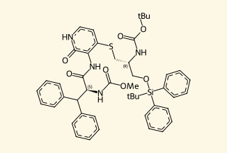 COC(=O)N[C@H](C(=O)Nc1c(SC[C@@H](CO[Si](c2ccccc2)(c2ccccc2)C(C)(C)C)NC(=O)OC(C)(C)C)cc[nH]c1=O)C(c1ccccc1)c1ccccc1